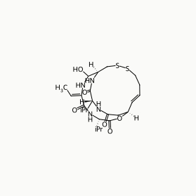 C/C=C1\NC(O)[C@H]2CSSCC/C=C/[C@H](CC(=O)N[C@H](C(C)C)C(=O)N2)OC(=O)[C@H](C(C)C)NC1=O